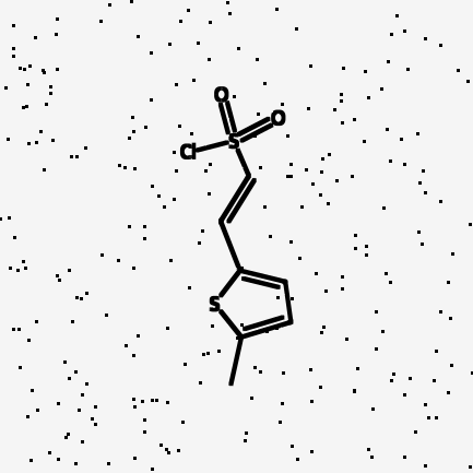 Cc1ccc(C=CS(=O)(=O)Cl)s1